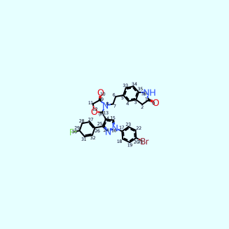 O=C1Cc2cc(CCN3C(=O)CO[C@@H]3c3cn(-c4ccc(Br)cc4)nc3C3=CCC(F)C=C3)ccc2N1